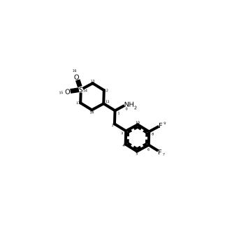 NC(Cc1ccc(F)c(F)c1)C1CCS(=O)(=O)CC1